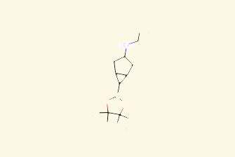 CC1(C)OB(C2C3CC(NCC(F)(F)F)CC32)OC1(C)C